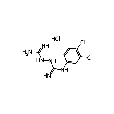 Cl.N=C(N)NNC(=N)Nc1ccc(Cl)c(Cl)c1